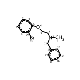 CN(CCOc1ccccc1Br)Cc1ccccc1